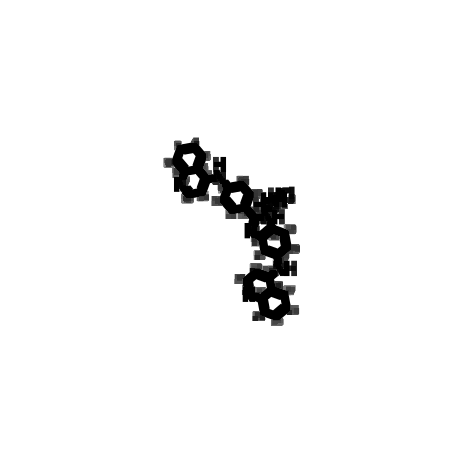 Cl.Cl.Cl.c1ccc2c(Nc3ccc(-c4nc5cc(Nc6ccnc7ccccc67)ccc5[nH]4)cc3)ccnc2c1